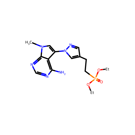 CCOP(=O)(CCc1cnn(-c2cn(C)c3ncnc(N)c23)c1)OCC